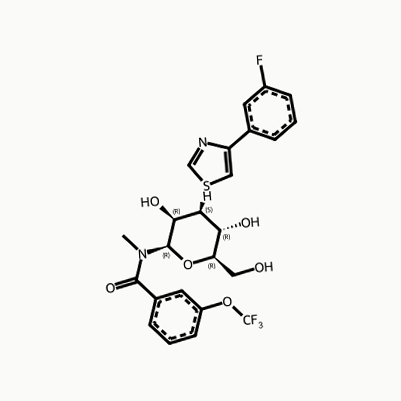 CN(C(=O)c1cccc(OC(F)(F)F)c1)[C@@H]1O[C@H](CO)[C@@H](O)[C@H]([SH]2C=NC(c3cccc(F)c3)=C2)[C@@H]1O